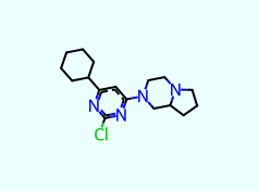 Clc1nc(C2CCCCC2)cc(N2CCN3CCCC3C2)n1